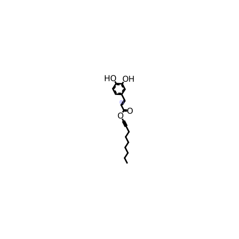 CCCCCCCC#COC(=O)/C=C/c1ccc(O)c(O)c1